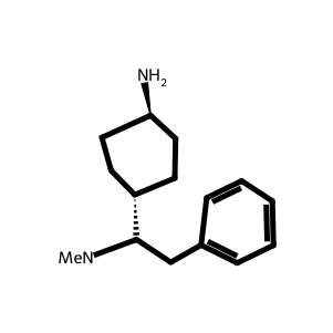 CNC(Cc1ccccc1)[C@H]1CC[C@H](N)CC1